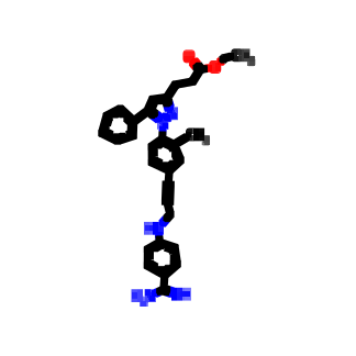 CCOC(=O)CCc1cc(-c2ccccc2)n(-c2ccc(C#CCNc3ccc(C(=N)N)cc3)cc2C)n1